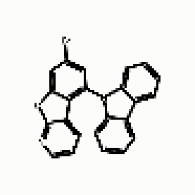 Brc1cc(-n2c3ccccc3c3ccccc32)c2c(c1)oc1ncccc12